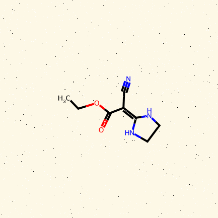 CCOC(=O)C(C#N)=C1NCCN1